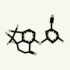 N#Cc1cc(F)cc(Oc2ccc3c4c2C(=O)CCC4(O)C(F)(F)C3(F)F)c1